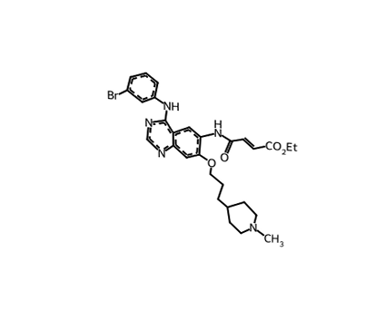 CCOC(=O)/C=C/C(=O)Nc1cc2c(Nc3cccc(Br)c3)ncnc2cc1OCCCC1CCN(C)CC1